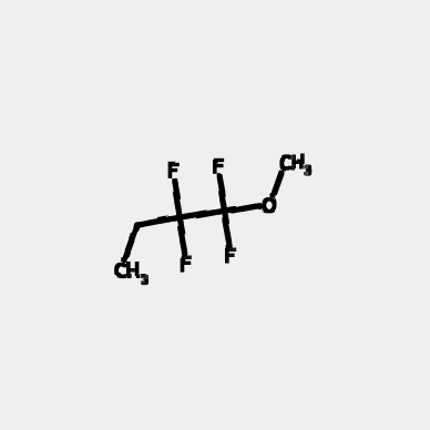 CCC(F)(F)C(F)(F)OC